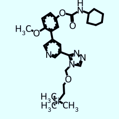 COc1ccc(OC(=O)NC2CCCCC2)cc1-c1cncc(-c2nncn2COCC[Si](C)(C)C)c1